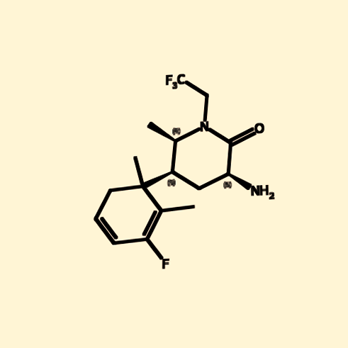 CC1=C(F)C=CCC1(C)[C@@H]1C[C@H](N)C(=O)N(CC(F)(F)F)[C@@H]1C